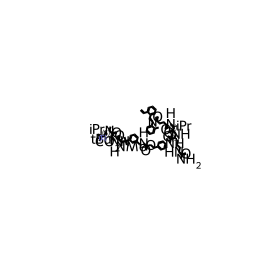 C=Cc1ccccc1CN(C(=O)CCC(=O)N[C@H](C(=O)N[C@@H](CCCNC(N)=O)C(=O)Nc1ccc(COC(=O)NCc2cccc(C(C)(C)C(NC)C(=O)N[C@H](C(=O)N(C)[C@H](/C=C(\C)C(=O)O)C(C)C)C(C)(C)C)c2)cc1)C(C)C)c1ccccc1C